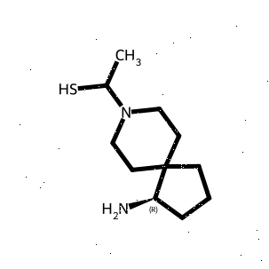 CC(S)N1CCC2(CCC[C@H]2N)CC1